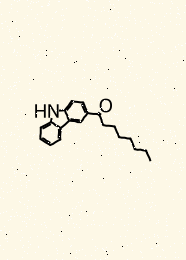 CCCCCCCC(=O)c1ccc2[nH]c3ccccc3c2c1